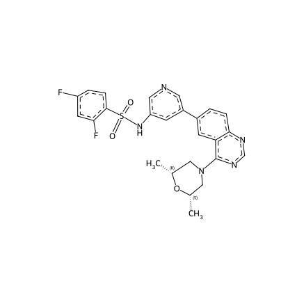 C[C@@H]1CN(c2ncnc3ccc(-c4cncc(NS(=O)(=O)c5ccc(F)cc5F)c4)cc23)C[C@H](C)O1